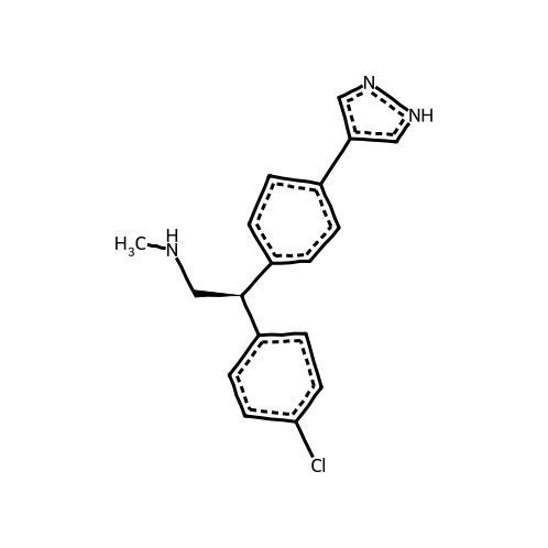 CNC[C@H](c1ccc(Cl)cc1)c1ccc(-c2cn[nH]c2)cc1